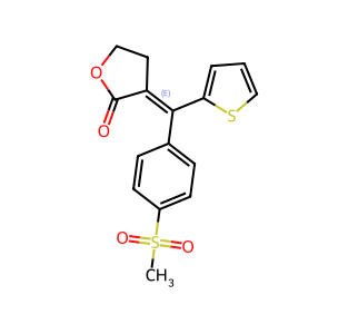 CS(=O)(=O)c1ccc(/C(=C2/CCOC2=O)c2cccs2)cc1